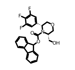 O=C(OC1c2ccccc2-c2ccccc21)N1[C@@H](CO)COC[C@H]1c1cc(F)c(F)c(F)c1